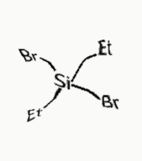 CC[Si](Br)(Br)CC